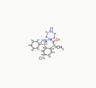 CC1C(=O)[N+]2(CCNCC2)NC(c2ccccc2)c2cc(Cl)ccc21